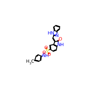 Cc1ccc(NOS(=O)(=O)c2ccc3c(c2)C(=Cc2nc4ccccc4[nH]2)C(=O)N3)cc1